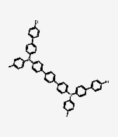 CCc1ccc(-c2ccc(N(c3ccc(C)cc3)c3ccc(-c4ccc(-c5ccc(N(c6ccc(C)cc6)c6ccc(-c7ccc(CC)cc7)cc6)cc5)cc4)cc3)cc2)cc1